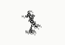 CCC(C)(C)OC(=O)N(CCCCO[Si](C)(C)C(C)(C)C)c1cc(F)c(S(=O)(=O)N(Cc2ccc(OC)cc2OC)c2ncns2)cc1Cl